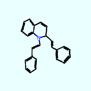 C(=CC1C=Cc2ccccc2N1C=Cc1ccccc1)c1ccccc1